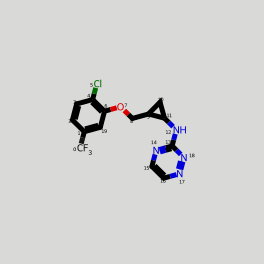 FC(F)(F)c1ccc(Cl)c(OCC2CC2Nc2nccnn2)c1